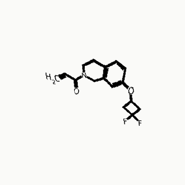 C=CC(=O)N1CCc2ccc(OC3CC(F)(F)C3)cc2C1